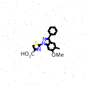 COc1cc2c(cc1C)c(-c1ccccc1)nn2-c1nc(C(=O)O)cs1